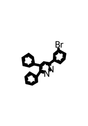 Brc1cccc(-c2cc(-c3ccccc3)c(-c3ccccc3)nn2)c1